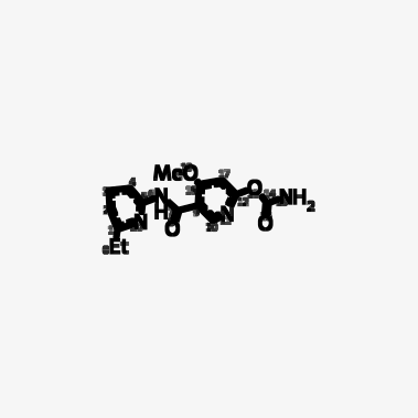 CCc1cccc(NC(=O)c2cnc(OC(N)=O)cc2OC)n1